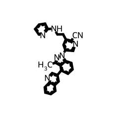 Cc1nn(-c2cnc(C#N)c(CCNc3ccccn3)c2)c2cccc(-c3cnc4ccccc4c3)c12